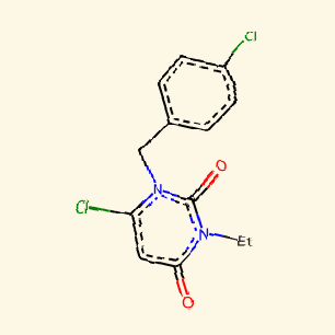 CCn1c(=O)cc(Cl)n(Cc2ccc(Cl)cc2)c1=O